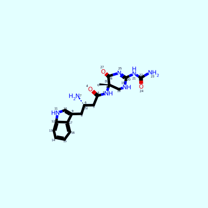 C[C@]1(NC(=O)C[C@@H](N)Cc2c[nH]c3ccccc23)CNC(NC(N)=O)=NC1=O